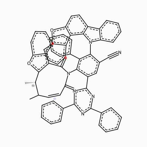 C=C1/C=C\C(C)[C@H](C)c2oc3ccccc3c2C(=C)N1c1c(-c2nc(-c3ccccc3)nc(-c3ccccc3)n2)cc(C#N)c(-n2c3ccccc3c3ccc4oc5ccccc5c4c32)c1-c1ccccc1